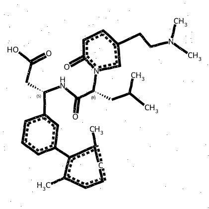 Cc1cccc(C)c1-c1cccc([C@H](CC(=O)O)NC(=O)[C@@H](CC(C)C)n2cc(CCN(C)C)ccc2=O)c1